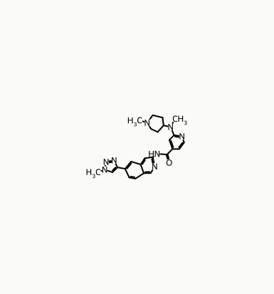 CN1CCC(N(C)c2cc(C(=O)Nc3cc4cc(-c5cn(C)nn5)ccc4cn3)ccn2)CC1